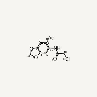 CC(=O)c1cc2c(cc1NC(=O)CCl)OCO2